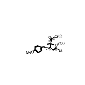 CCCCO[C@@H](CC)C[C@@H](OCc1ccc(OC)cc1)C(C)(C)[C@@H]1O[C@H]1C=O